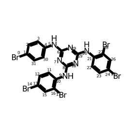 Brc1ccc(Nc2nc(Nc3ccc(Br)cc3Br)nc(Nc3ccc(Br)cc3Br)n2)cc1